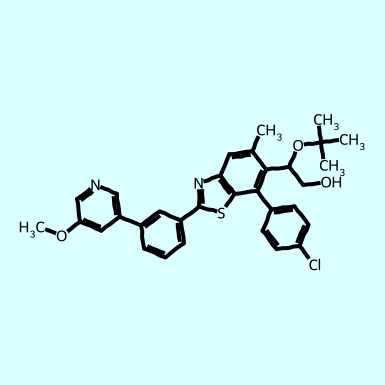 COc1cncc(-c2cccc(-c3nc4cc(C)c(C(CO)OC(C)(C)C)c(-c5ccc(Cl)cc5)c4s3)c2)c1